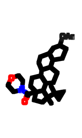 CC(=O)OC1CCC2C(CCC3C2CCC2C3CCC3(C(=O)N4CCOCC4)CCC(C)(C4(C)CC4)C23)C1